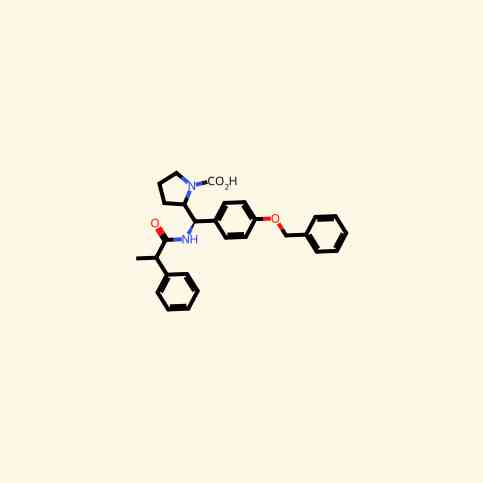 CC(C(=O)N[C@H](c1ccc(OCc2ccccc2)cc1)C1CCCN1C(=O)O)c1ccccc1